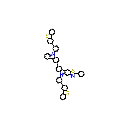 c1ccc(-c2nc3cc4c(cc3s2)c2cc(-c3ccc5c(c3)c3ccccc3n5-c3cccc(-c5ccc6sc7ccccc7c6c5)c3)ccc2n4-c2cccc(-c3ccc4sc5ccccc5c4c3)c2)cc1